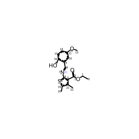 CCOC(=O)c1c(/N=C/c2cc(OC)ccc2O)sc(C)c1C